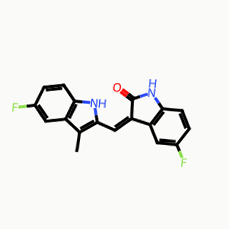 Cc1c(C=C2C(=O)Nc3ccc(F)cc32)[nH]c2ccc(F)cc12